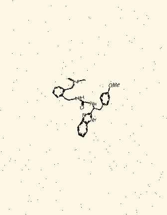 COc1ccc(CC(NC(=O)NCc2ccccc2CN(C)C)c2nc3ccccc3[nH]2)cc1